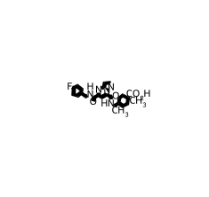 CC(NC(=O)c1cc(C(=O)NCc2ccc(F)cc2)nc2ccnn12)C1=CCC(C)(C(=O)O)CC1